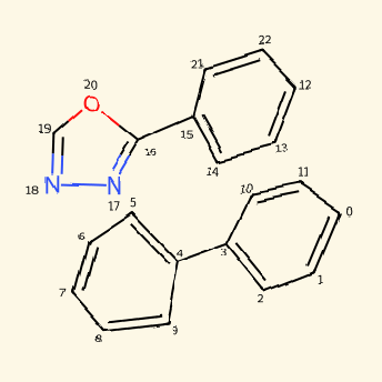 c1ccc(-c2ccccc2)cc1.c1ccc(-c2nnco2)cc1